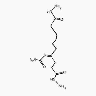 NNC(=O)CCCCC(CCC(=O)NN)=NC(N)=O